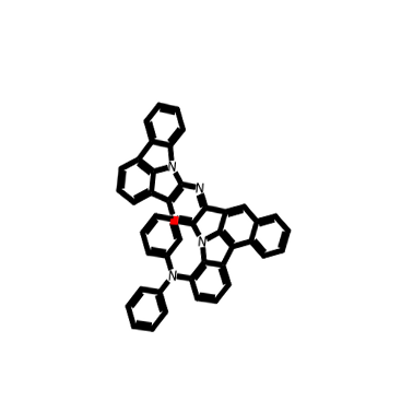 c1ccc(N(c2ccccc2)c2cccc3c4c5ccccc5cc5c6nc7c(nc6n(c23)c54)c2cccc3c4ccccc4n7c32)cc1